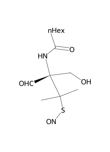 CCCCCCC(=O)N[C@](C=O)(CO)C(C)(C)SN=O